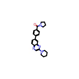 O=C(c1ccc(-c2ccc3ncc(N4CCCCC4)nc3c2)cc1)N1CCCC1